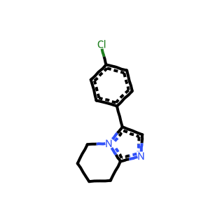 Clc1ccc(-c2cnc3n2CCCC3)cc1